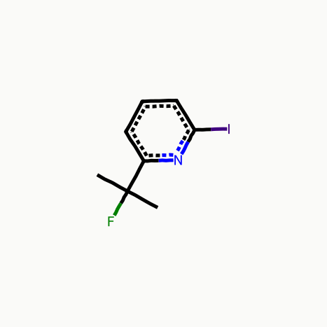 CC(C)(F)c1cccc(I)n1